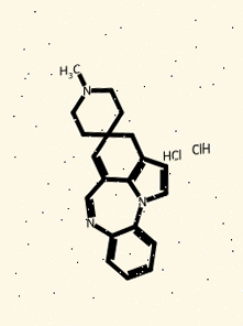 CN1CCC2(C=C3C=Nc4ccccc4-n4ccc(c43)C2)CC1.Cl.Cl